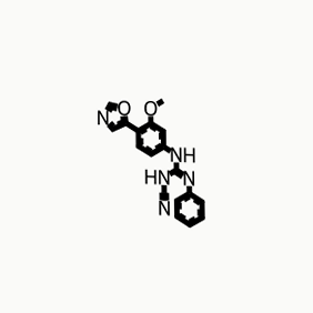 COc1cc(N/C(=N/c2ccccc2)NC#N)ccc1-c1cnco1